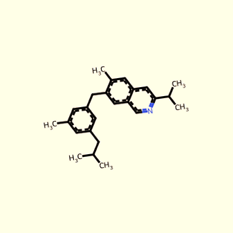 Cc1cc(Cc2cc3cnc(C(C)C)cc3cc2C)cc(CC(C)C)c1